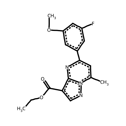 CCOC(=O)c1cnn2c(C)cc(-c3cc(F)cc(OC)c3)nc12